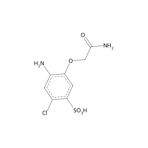 NC(=O)COc1cc(S(=O)(=O)O)c(Cl)cc1N